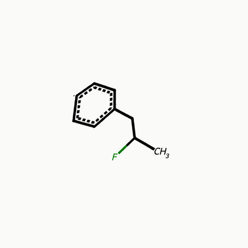 CC(F)Cc1cc[c]cc1